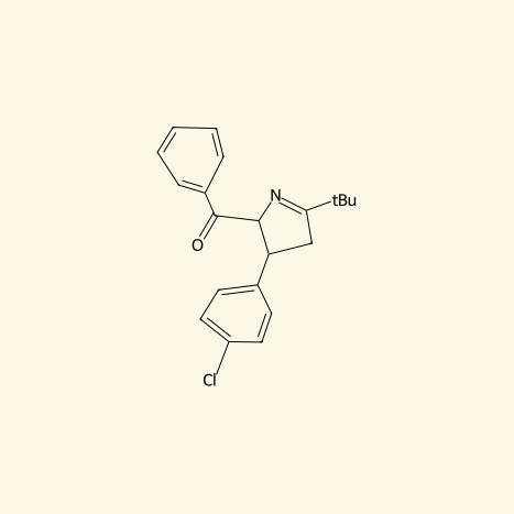 CC(C)(C)C1=NC(C(=O)c2ccccc2)C(c2ccc(Cl)cc2)C1